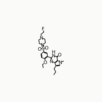 CCCc1cn(C)c2c(=O)[nH]c(-c3cc(S(=O)(=O)N4CCN(CCF)CC4)ccc3OCC)nc12